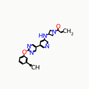 C#Cc1cccc(Oc2ncc(-c3cncc(NC4CN(C(=O)C=C)C4)c3)cn2)c1